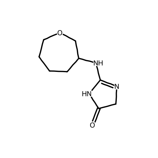 O=C1CN=C(NC2CCCCOC2)N1